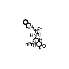 C=C1C[C@@H]2[C@@H](CC1=O)C[C@H](NC(=O)N(CC)CCN1CCc3ccccc3C1)CN2CCC